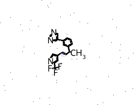 CC(/C=C/c1ccnc(C(F)(F)F)c1)c1cccc(-c2cncnc2)c1